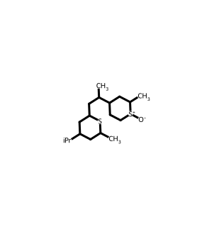 CC1CC(C(C)C)CC(CC(C)C2CC[S+]([O-])C(C)C2)S1